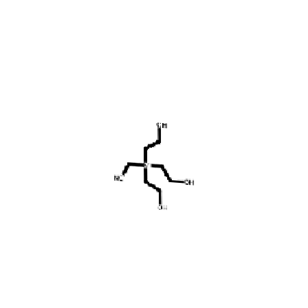 N#CC[N+](CCO)(CCO)CCO